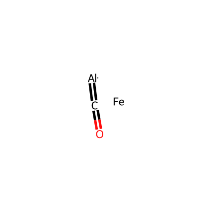 O=[C]=[Al].[Fe]